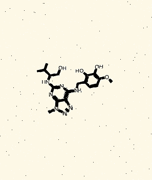 COc1ccc(CNc2nc(NC(CO)C(C)C)nc3c2nnn3C)c(O)c1O